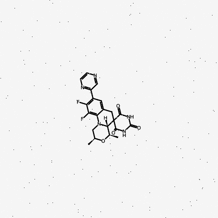 C[C@H]1CN2c3c(cc(-c4cnccn4)c(F)c3F)CC3(C(=O)NC(=O)NC3=O)[C@@H]2[C@@H](C)O1